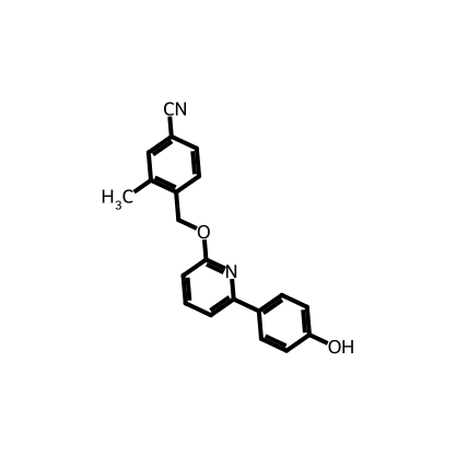 Cc1cc(C#N)ccc1COc1cccc(-c2ccc(O)cc2)n1